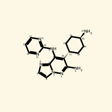 Nc1nn2ccnc2c(Nc2ncccn2)c1[C@H]1CC[C@H](N)CC1